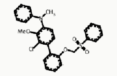 COc1c(N(C)c2ccccc2)ccc(-c2ccc[c]c2OCS(=O)(=O)c2ccccc2)c1Cl